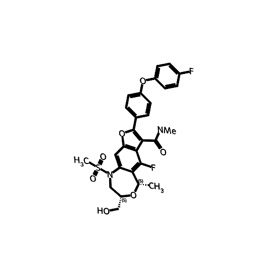 CNC(=O)c1c(-c2ccc(Oc3ccc(F)cc3)cc2)oc2cc3c(c(F)c12)[C@H](C)O[C@H](CO)CN3S(C)(=O)=O